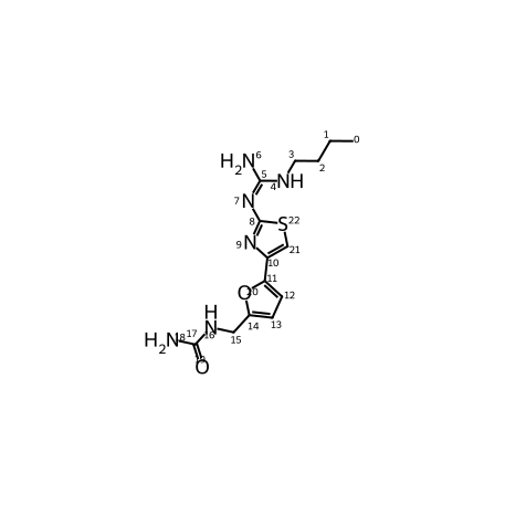 CCCCNC(N)=Nc1nc(-c2ccc(CNC(N)=O)o2)cs1